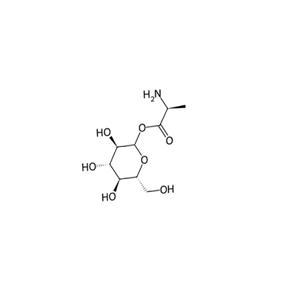 C[C@H](N)C(=O)OC1O[C@H](CO)[C@@H](O)[C@H](O)[C@H]1O